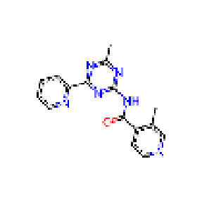 Cc1nc(NC(=O)c2ccncc2C)nc(-c2ccccn2)n1